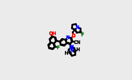 N#Cc1c(OC[C@@]23CCCN2C[C@H](F)C3)nc2cc(-c3cc(O)cc4cccc(F)c34)ccc2c1N1C[C@H]2CC[C@@H](C1)N2